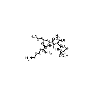 C[C@@H](O)[C@H](NC(=O)[C@H](CCCCN)NC(=O)[C@@H](N)CCCCN)C(=O)N[C@@H](CS)C(=O)O